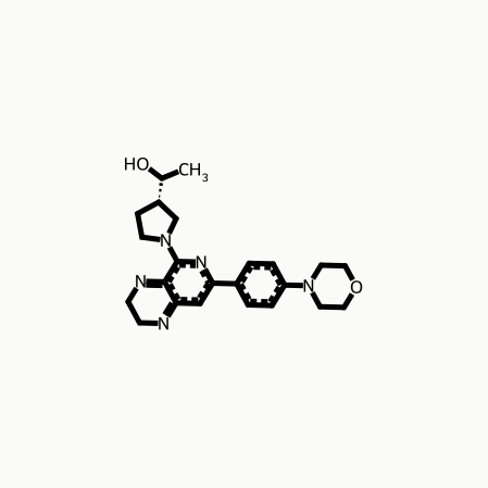 CC(O)[C@H]1CCN(c2nc(-c3ccc(N4CCOCC4)cc3)cc3c2=NCCN=3)C1